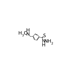 CNCc1ccc(C(=S)NN)cc1